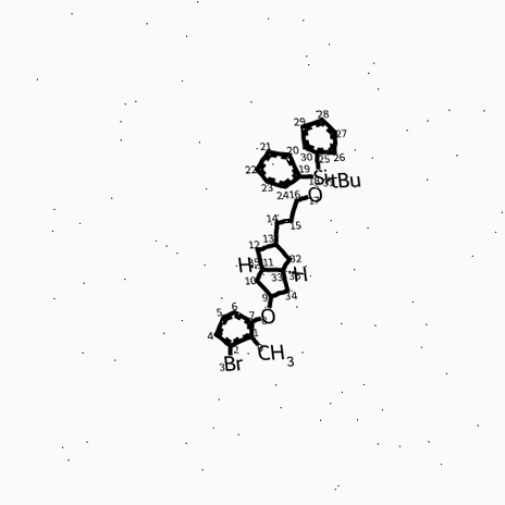 Cc1c(Br)cccc1OC1C[C@H]2CC(CCCO[Si](c3ccccc3)(c3ccccc3)C(C)(C)C)C[C@H]2C1